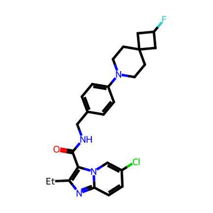 CCc1nc2ccc(Cl)cn2c1C(=O)NCc1ccc(N2CCC3(CC2)CC(F)C3)cc1